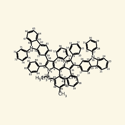 CB(F)n1c(/C(=C2\N=C(c3ccccc3)C(c3ccc4c5ccccc5n(-c5ccccc5)c4c3)=C2c2ccccc2)c2c(C)cc(C)cc2C)c(-c2ccccc2)c(-c2ccc3c4ccccc4n(-c4ccccc4)c3c2)c1-c1ccccc1